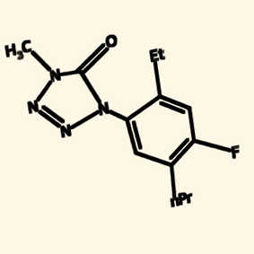 CCCc1cc(-n2nnn(C)c2=O)c(CC)cc1F